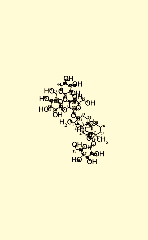 C=C1C[C@]23CC[C@H]4C(C)(C(=O)O[C@@H]5O[C@H](CO)[C@@H](O)[C@H](O)[C@H]5O)CCC[C@]4(C)[C@H]2CC[C@]1(O[C@@H]1O[C@H](CO)[C@@H](O)[C@H](O[C@@H]2OC[C@@H](O)[C@H](O)[C@H]2O)[C@H]1O[C@@H]1O[C@H](CO)[C@@H](O)[C@H](O)[C@H]1O)C3